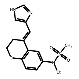 CCN(c1ccc2c(c1)/C(=C/c1c[nH]cn1)CCO2)S(C)(=O)=O